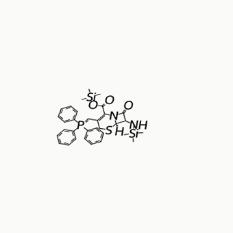 C[Si](C)(C)NC1C(=O)N2C(C(=O)O[Si](C)(C)C)=C(C=P(c3ccccc3)(c3ccccc3)c3ccccc3)CS[C@@H]12